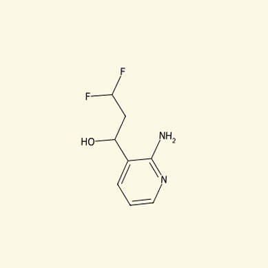 Nc1ncccc1C(O)CC(F)F